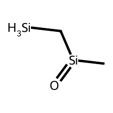 C[Si](=O)C[SiH3]